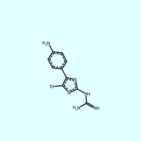 CCc1nc(NC(=N)N)sc1-c1ccc(N)cc1